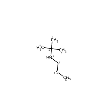 CSCNC(C)(C)C